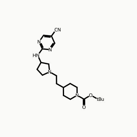 CC(C)(C)OC(=O)N1CCC(CCN2CCC(Nc3ncc(C#N)cn3)C2)CC1